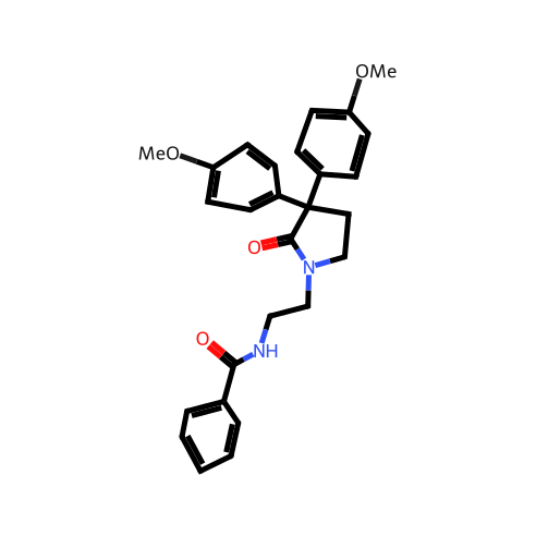 COc1ccc(C2(c3ccc(OC)cc3)CCN(CCNC(=O)c3ccccc3)C2=O)cc1